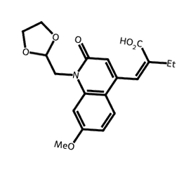 CCC(=Cc1cc(=O)n(CC2OCCO2)c2cc(OC)ccc12)C(=O)O